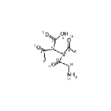 CC(=O)C(C(=O)O)N(C(C)=O)C(=O)CN